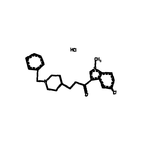 Cl.Cn1cc(C(=O)CCC2CCN(Cc3ccccc3)CC2)c2cc(Cl)ccc21